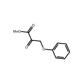 COC(=O)C(=O)COc1ccccc1